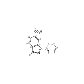 Cn1nc(-c2ccccc2)c2cc(C(=O)O)cnc21